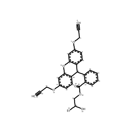 C#CCOc1ccc2c(c1)Oc1cc(OCC#C)ccc1C2c1ccccc1C(=O)OCC(O)CC